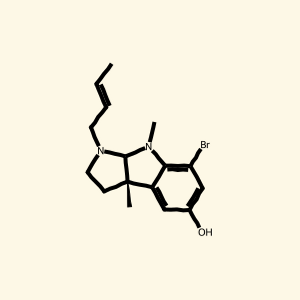 CC=CCN1CC[C@@]2(C)c3cc(O)cc(Br)c3N(C)C12